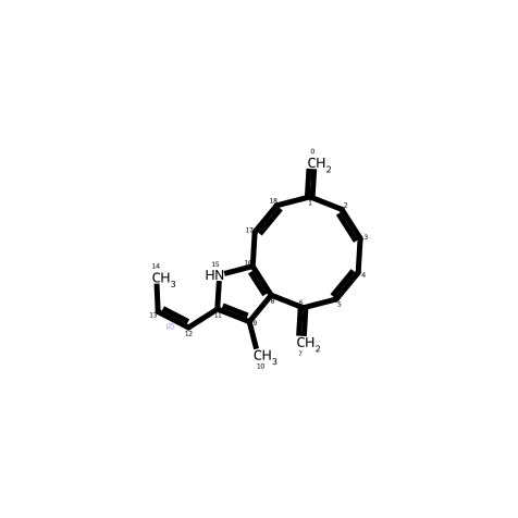 C=c1ccccc(=C)c2c(C)c(/C=C\C)[nH]c2cc1